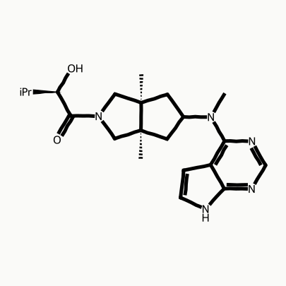 CC(C)[C@@H](O)C(=O)N1C[C@]2(C)CC(N(C)c3ncnc4[nH]ccc34)C[C@]2(C)C1